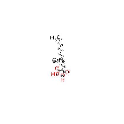 CCCCCCCCCCCCC(C(=O)O)C(=O)O.[CaH2]